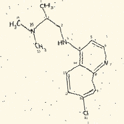 CC(CNc1ccnc2cc(Cl)ccc12)N(C)C